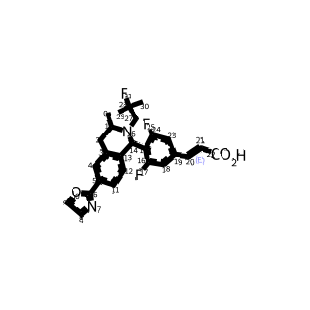 CC1Cc2cc(-c3ncco3)ccc2C(c2c(F)cc(/C=C/C(=O)O)cc2F)N1CC(C)(C)F